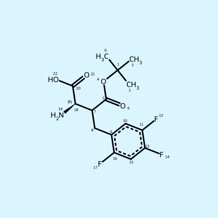 CC(C)(C)OC(=O)C(Cc1cc(F)c(F)cc1F)[C@@H](N)C(=O)O